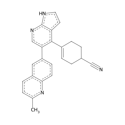 Cc1ccc2cc(-c3cnc4[nH]ccc4c3C3=CCC(C#N)CC3)ccc2n1